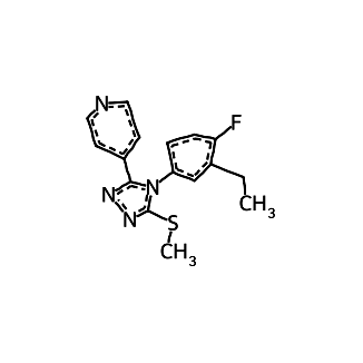 CCc1cc(-n2c(SC)nnc2-c2ccncc2)ccc1F